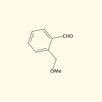 COCc1ccccc1[C]=O